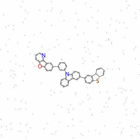 C1=CC2Sc3ccc(-c4ccc5c(c4)c4ccccc4n5-c4cccc(-c5ccc6oc7cccnc7c6c5)c4)cc3C2C=C1